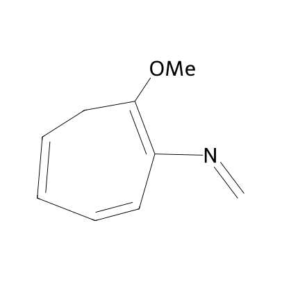 C=NC1=C(OC)CC=CC=C1